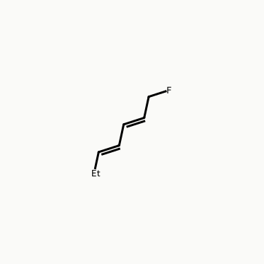 CCC=CC=CCF